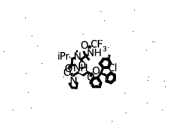 Cc1ccc(C(OC(=O)CC[C@H](NC(=O)[C@H](C(C)C)N(C)C(=O)C(C)(C)NC(=O)C(F)(F)F)C(=O)N2CCCC2)(c2ccccc2)c2ccccc2Cl)cc1